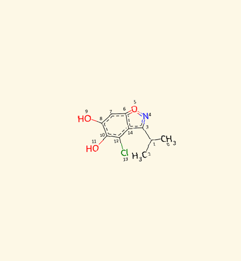 CC(C)c1noc2cc(O)c(O)c(Cl)c12